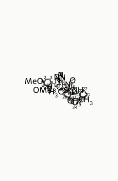 COc1ccc(Cn2nnnc2C2N3C(=O)C(NC(c4ccccc4)(c4ccccc4C)c4ccccc4C)[C@H]3SC2(C)C)c(OC)c1